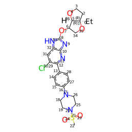 CC[C@@]12CCO[C@@H]1C(Oc1nc3nc(-c4ccc(N5CCN(S(C)(=O)=O)CC5)cc4)c(Cl)cc3[nH]1)CO2